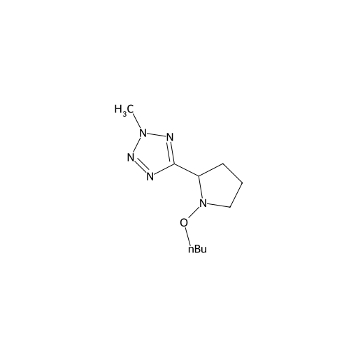 CCCCON1CCCC1c1nnn(C)n1